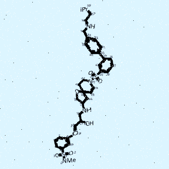 CNS(=O)(=O)c1cccc(OCC(O)CNC2COC3(CCN(S(=O)(=O)c4cccc(-c5ccc(CNCCC(C)C)cc5)c4)CC3)C2)c1